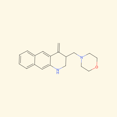 C=C1c2cc3ccccc3cc2NCC1CN1CCOCC1